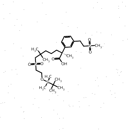 CC(C)(CCC[C@](C)(C(=O)O)c1cccc(CCS(C)(=O)=O)c1)CS(=O)(=O)CCO[Si](C)(C)C(C)(C)C